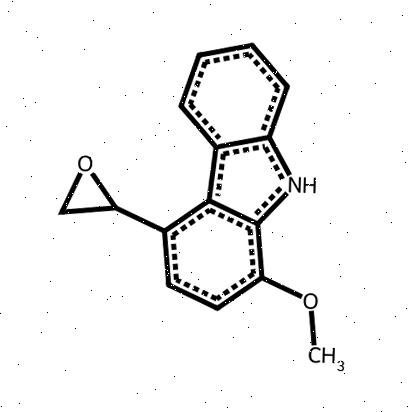 COc1ccc(C2CO2)c2c1[nH]c1ccccc12